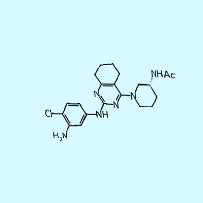 CC(=O)N[C@@H]1CCCN(c2nc(Nc3ccc(Cl)c(N)c3)nc3c2CCCC3)C1